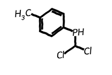 Cc1ccc(PC(Cl)Cl)cc1